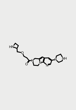 O=C(CCOCC1CCN1)N1CCn2c(cc3cc(N4CCNCC4)cnc32)C1